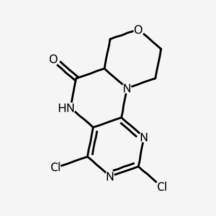 O=C1Nc2c(Cl)nc(Cl)nc2N2CCOCC12